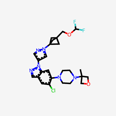 CC1(N2CCN(c3cc4c(cnn4-c4cnn(C56CC(COC(F)F)(C5)C6)c4)cc3Cl)CC2)COC1